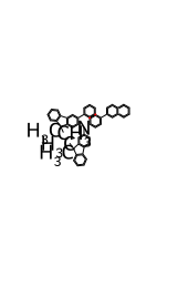 CC1(C)c2ccccc2-c2ccc(N(c3ccc(-c4ccc5ccccc5c4)cc3)c3cc4c(cc3-c3ccccc3)-c3ccccc3C4(C)C)cc21